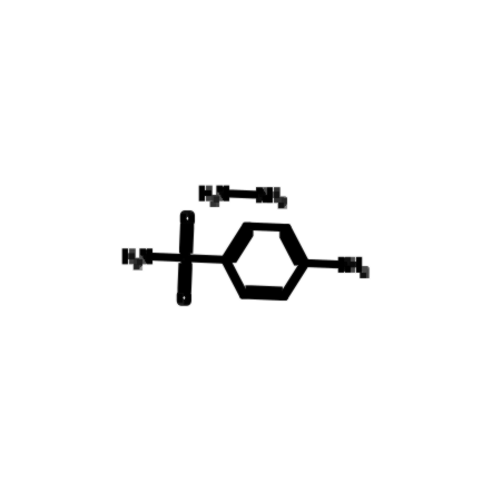 NN.Nc1ccc(S(N)(=O)=O)cc1